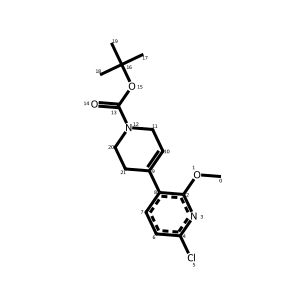 COc1nc(Cl)ccc1C1=CCN(C(=O)OC(C)(C)C)CC1